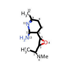 CN[C@@H](C)C1OC1C1CCC(C)=NC1N